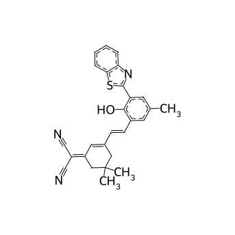 Cc1cc(C=CC2=CC(=C(C#N)C#N)CC(C)(C)C2)c(O)c(-c2nc3ccccc3s2)c1